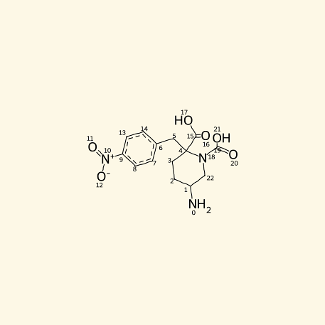 NC1CCC(Cc2ccc([N+](=O)[O-])cc2)(C(=O)O)N(C(=O)O)C1